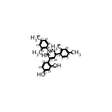 Cc1ccc(C2=NN(c3ccc(C)cc3C)NC(c3ccc(O)cc3O)=C2)c(C)c1